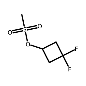 CS(=O)(=O)OC1CC(F)(F)C1